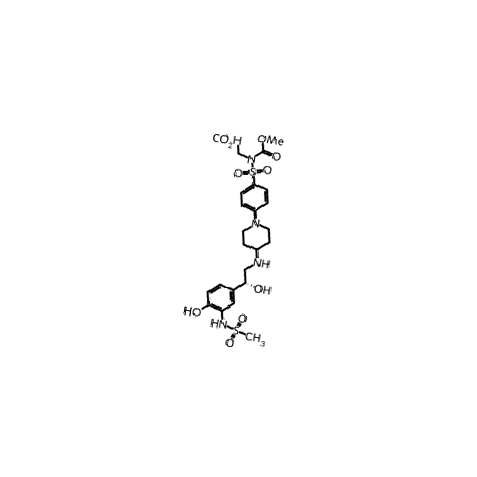 COC(=O)N(CC(=O)O)S(=O)(=O)c1ccc(N2CCC(NC[C@H](O)c3ccc(O)c(NS(C)(=O)=O)c3)CC2)cc1